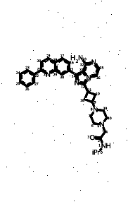 CC(C)NC(=O)CN1CCN(C2CC(c3nc(-c4ccc5ccc(-c6ccccc6)nc5c4)c4c(N)nccn34)C2)CC1